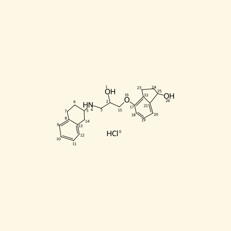 Cl.OC(CNC1CCc2ccccc2C1)COc1cccc2c1CCC2O